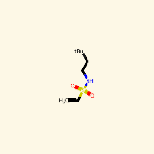 C=CS(=O)(=O)NCCC(C)(C)C